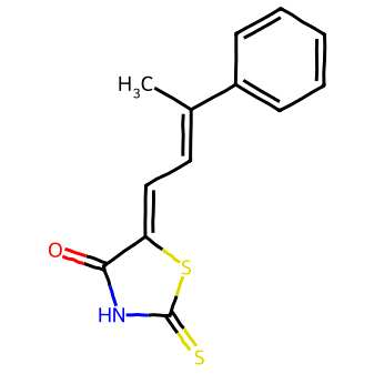 CC(=CC=C1SC(=S)NC1=O)c1ccccc1